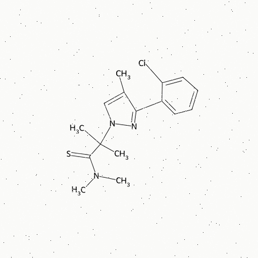 Cc1cn(C(C)(C)C(=S)N(C)C)nc1-c1ccccc1Cl